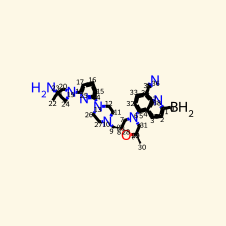 Bc1ccc2c(N3C[C@H](CN4CCN(c5cccc(N6CC(C)(N)C6)n5)CC4)O[C@H](C)C3)ccc(C#N)c2n1